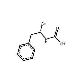 CCCC(=O)N[C@H](Cc1ccccc1)C(C)=O